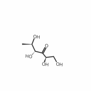 C[C@@H](O)[C@@H](O)C(=O)[C@H](O)CO